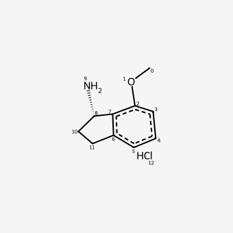 COc1cccc2c1[C@@H](N)CC2.Cl